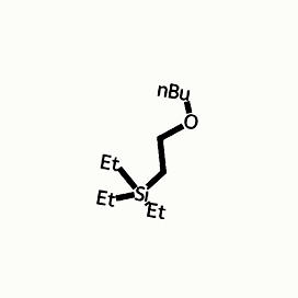 CCCCOCC[Si](CC)(CC)CC